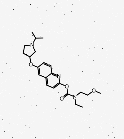 CCN(CCOC)C(=O)Oc1ccc2cc(OC3CCN(C(C)C)C3)ccc2n1